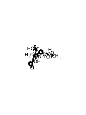 C[C@H](Cc1c[nH]c2c(OCC(=O)NS(C)(=O)=O)cccc12)NC[C@H](O)c1cccc(Cl)c1.O=C(O)C(F)(F)F